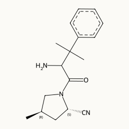 C[C@@H]1C[C@@H](C#N)N(C(=O)C(N)C(C)(C)c2ccccc2)C1